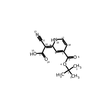 CC(C)(C)OC(=O)C1=C/C(=C(/C#N)C(=O)O)NC=C1